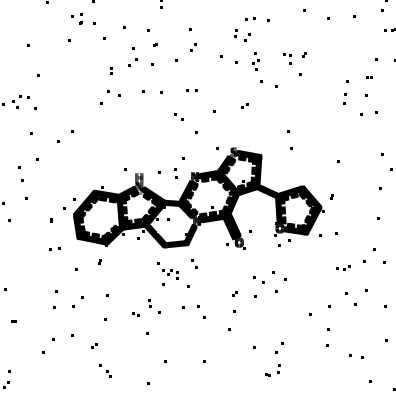 O=c1c2c(-c3ccco3)csc2nc2n1CCc1c-2[nH]c2ccccc12